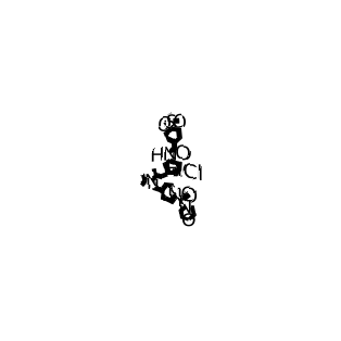 CC(C)N(CC1CCN(C(=O)N2CCOCC2)CC1)C(C)Cc1cccc(NC(=O)c2ccc(S(C)(=O)=O)cc2)c1.Cl